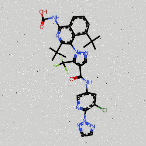 CC(C)(C)c1nc(NC(=O)O)c2cccc(C(C)(C)C)c2c1-n1ncc(C(=O)Nc2cnc(-n3nccn3)c(Cl)c2)c1C(F)(F)F